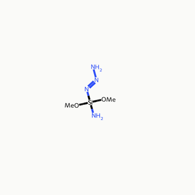 CO[Si](N)(N=NN)OC